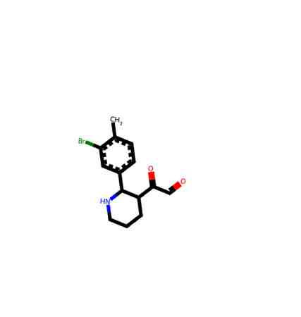 Cc1ccc(C2NCCCC2C(=O)C=O)cc1Br